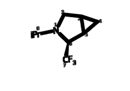 CC(C)N1CC2CC2[C@H]1C(F)(F)F